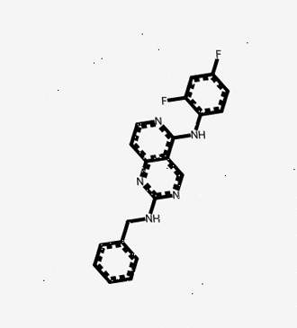 Fc1ccc(Nc2nccc3nc(NCc4ccccc4)ncc23)c(F)c1